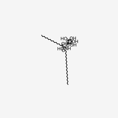 CCCCCCCCCCCCCCCCCCCCCC(=O)N[C@@H](CO[C@H]1O[C@H](CO)[C@H](O)[C@H](O)[C@H]1O)[C@H](O)[C@H](O)CCCCCCCCCCCCCC